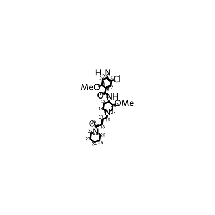 COc1cc(N)c(Cl)cc1C(=O)NC1CCN(CC=CC(=O)N2CCCCC2)CC1OC